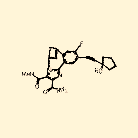 CNC(=O)c1c(C(N)=O)nc2n1C1C=C(C1)c1cc(F)c(C#CC3(O)CCCC3)cc1-2